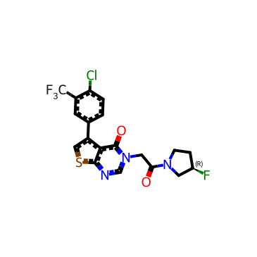 O=C(Cn1cnc2scc(-c3ccc(Cl)c(C(F)(F)F)c3)c2c1=O)N1CC[C@@H](F)C1